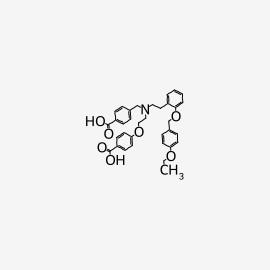 CCOc1ccc(COc2ccccc2CCN(CCOc2ccc(C(=O)O)cc2)Cc2ccc(C(=O)O)cc2)cc1